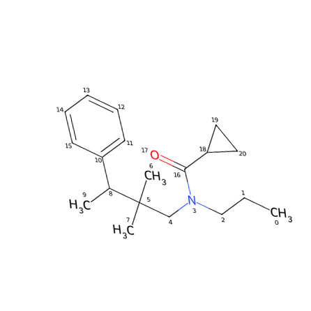 CCCN(CC(C)(C)C(C)c1ccccc1)C(=O)C1CC1